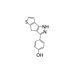 Oc1ccc(-c2n[nH]c3c2Cc2sccc2-3)cc1